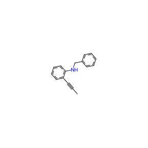 CC#Cc1ccccc1NCc1ccccc1